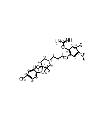 COc1cc(OCCCN2CCC(O)(Cc3ccc(Cl)cc3)C(C)(C)C2)c(OC(=N)N)cc1Cl